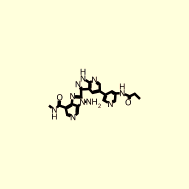 CCC(=O)Nc1cncc(-c2cnc3[nH]nc(-c4nc5c(C(=O)NC)cncc5n4N)c3c2)c1